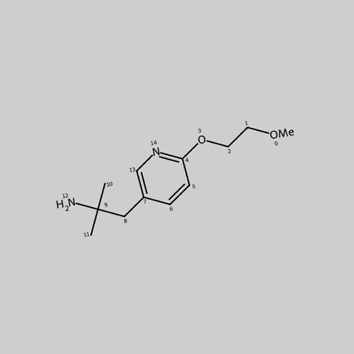 COCCOc1ccc(CC(C)(C)N)cn1